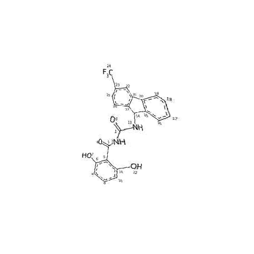 O=C(NC(=O)c1c(O)cccc1O)NC1c2ccccc2-c2cc(C(F)(F)F)ccc21